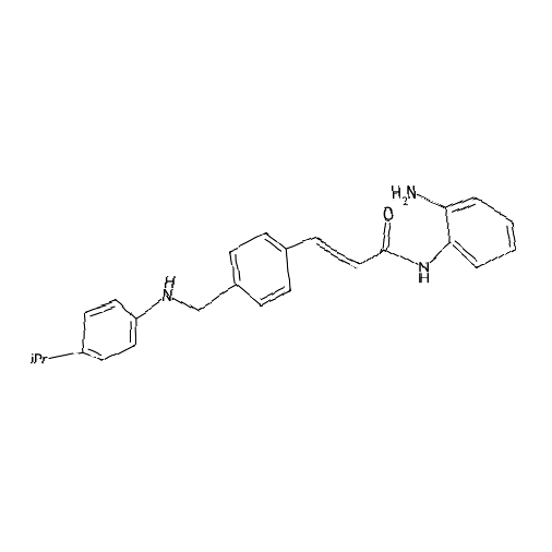 CC(C)c1ccc(NCc2ccc(C=CC(=O)Nc3ccccc3N)cc2)cc1